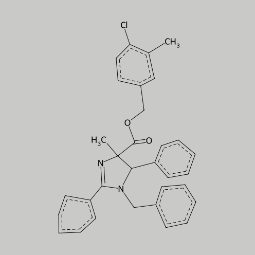 Cc1cc(COC(=O)C2(C)N=C(c3ccccc3)N(Cc3ccccc3)C2c2ccccc2)ccc1Cl